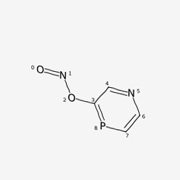 O=NOc1cnccp1